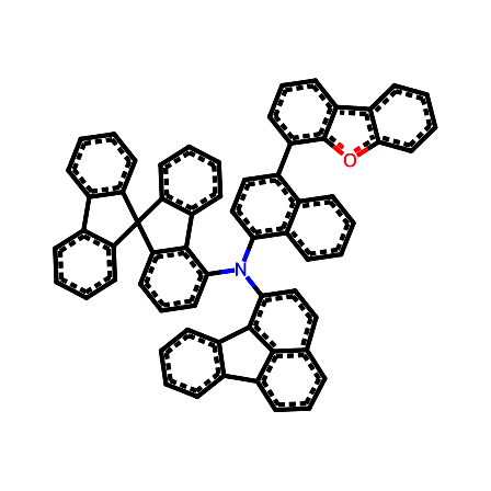 c1ccc2c(c1)-c1cccc3ccc(N(c4cccc5c4-c4ccccc4C54c5ccccc5-c5ccccc54)c4ccc(-c5cccc6c5oc5ccccc56)c5ccccc45)c-2c13